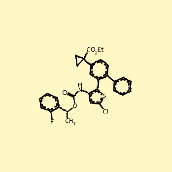 CCOC(=O)C1(c2ccc(-c3ccccc3)c(-c3sc(Cl)cc3NC(=O)OC(C)c3ccccc3F)c2)CC1